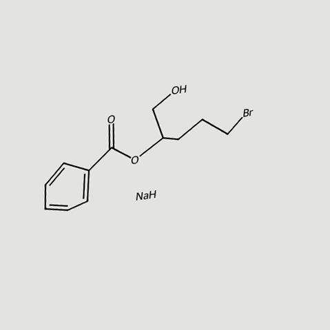 O=C(OC(CO)CCCBr)c1ccccc1.[NaH]